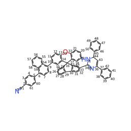 N#Cc1ccc(-c2ccc(-c3ccc4c(c3)C3(c5ccccc5O4)c4ccccc4-c4ccc(C5=NC(c6ccccc6)=CC(c6ccccc6)N5)cc43)c3ccccc23)cc1